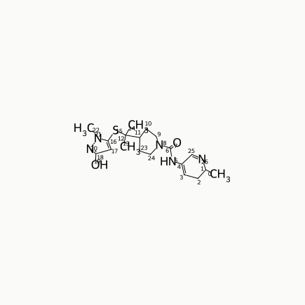 CC1CC=C(NC(=O)N2CCC(C(C)(C)Sc3cc(O)nn3C)CC2)C=N1